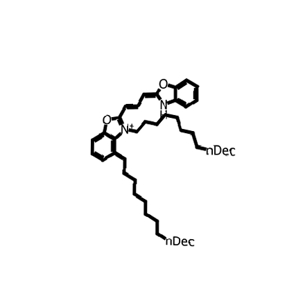 CCCCCCCCCCCCCCCCCCc1cccc2oc(C=CC=C3Nc4ccccc4O3)[n+](CCCCCCCCCCCCCCCCCC)c12